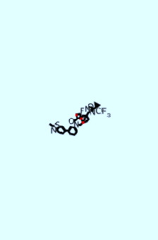 Cc1nc2ccc(-c3cccc(N(CC45CCC(c6noc(C7(C(F)(F)F)CC7)n6)(CC4)CC5)C(=O)C45CC(F)(C4)C5)c3)cc2s1